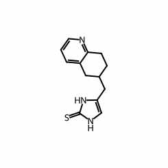 S=c1[nH]cc(CC2CCc3ncccc3C2)[nH]1